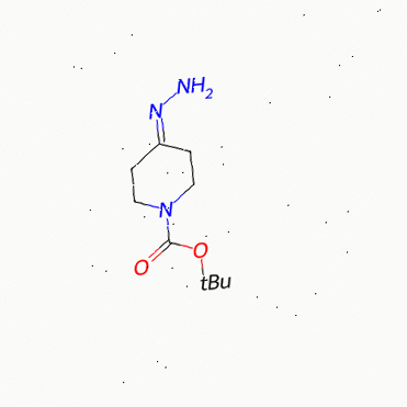 CC(C)(C)OC(=O)N1CCC(=NN)CC1